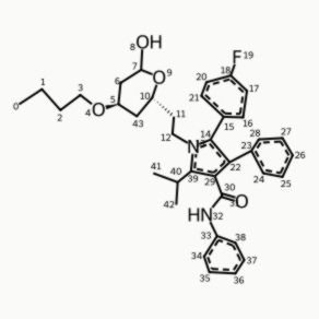 CCCCO[C@H]1CC(O)O[C@H](CCn2c(-c3ccc(F)cc3)c(-c3ccccc3)c(C(=O)Nc3ccccc3)c2C(C)C)C1